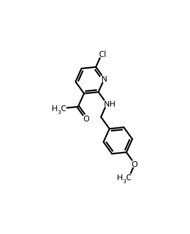 COc1ccc(CNc2nc(Cl)ccc2C(C)=O)cc1